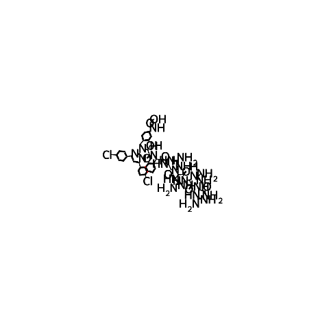 N=C(N)NC(NC(=O)C(NC(=N)N)NC(=O)C(NC(=N)N)NC(=O)C(NC(=N)N)NC(=O)C(NC(=O)C(O)N(Cc1ccc(NOO)cc1)c1nc(-c2ccc(Cl)cc2)cc(-c2ccc(Cl)cc2)n1)c1ccccc1)C(N)=O